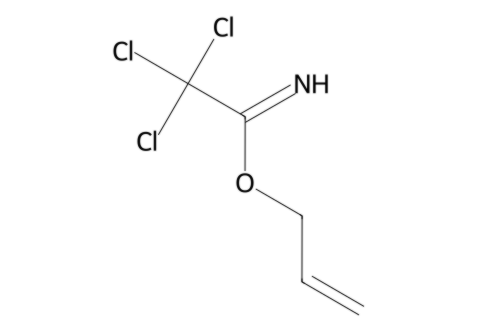 C=CCOC(=N)C(Cl)(Cl)Cl